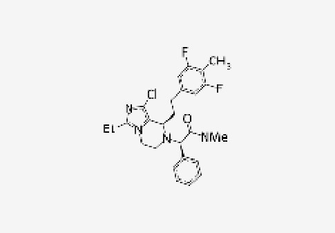 CCc1nc(Cl)c2n1CCN([C@@H](C(=O)NC)c1ccccc1)[C@@H]2CCc1cc(F)c(C)c(F)c1